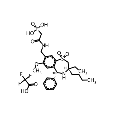 CCCC[C@]1(CC)CS(=O)(=O)c2cc(CNC(=O)CP(=O)(O)O)c(OC)cc2[C@@H](c2ccccc2)N1.O=C(O)C(F)(F)F